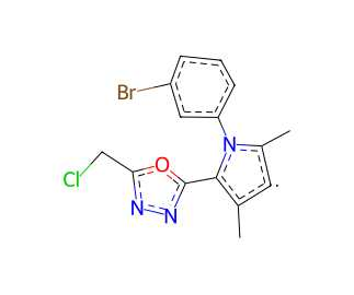 Cc1[c]c(C)n(-c2cccc(Br)c2)c1-c1nnc(CCl)o1